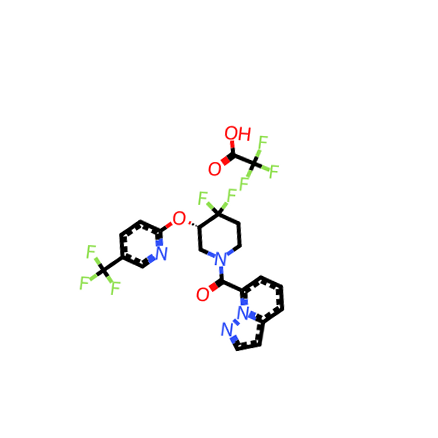 O=C(O)C(F)(F)F.O=C(c1cccc2ccnn12)N1CCC(F)(F)[C@@H](Oc2ccc(C(F)(F)F)cn2)C1